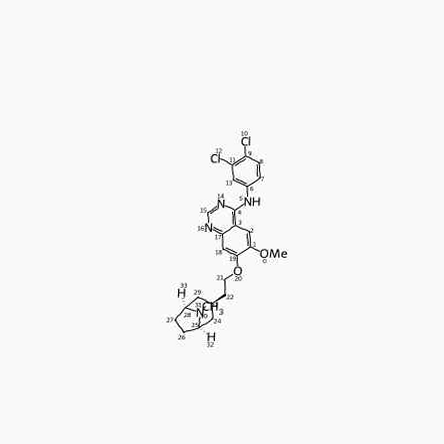 COc1cc2c(Nc3ccc(Cl)c(Cl)c3)ncnc2cc1OCC[C@H]1C[C@H]2CC[C@@H](C1)N2C